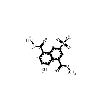 COC(=O)c1cc(S(=O)(=O)O)cc2c(C(=O)OC)cccc12.[KH]